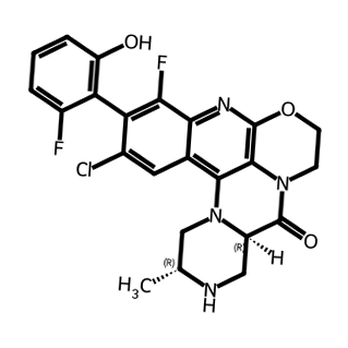 C[C@@H]1CN2c3c4c(nc5c(F)c(-c6c(O)cccc6F)c(Cl)cc35)OCCN4C(=O)[C@H]2CN1